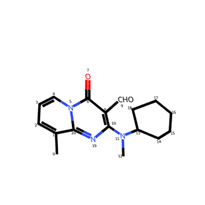 Cc1cccn2c(=O)c(C=O)c(N(C)C3CCCCC3)nc12